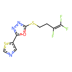 FC(F)=C(F)CCSc1nnc(-c2cncs2)o1